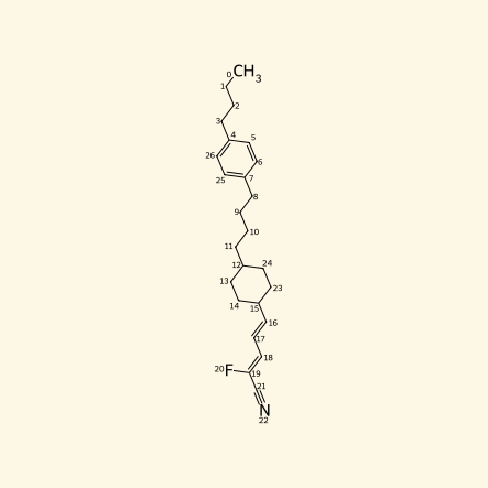 CCCCc1ccc(CCCCC2CCC(C=CC=C(F)C#N)CC2)cc1